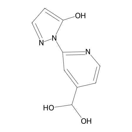 Oc1ccnn1-c1cc(C(O)O)ccn1